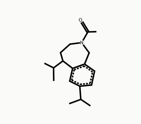 CC(=O)N1CCC(C(C)C)c2cc(C(C)C)ccc2C1